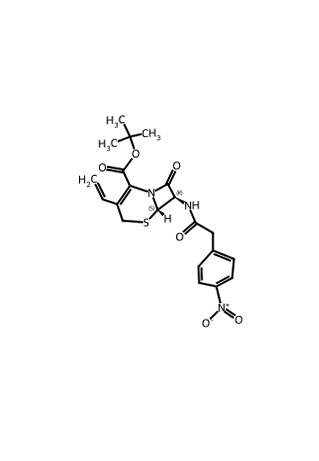 C=CC1=C(C(=O)OC(C)(C)C)N2C(=O)[C@@H](NC(=O)Cc3ccc([N+](=O)[O-])cc3)[C@@H]2SC1